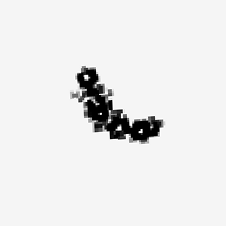 BC(B)(C1CCOCC1)N1C[C@H]2C[C@H](Nc3nnc(-c4ccc5c(c4)OCC5)cc3C(F)(F)F)C[C@H]2C1